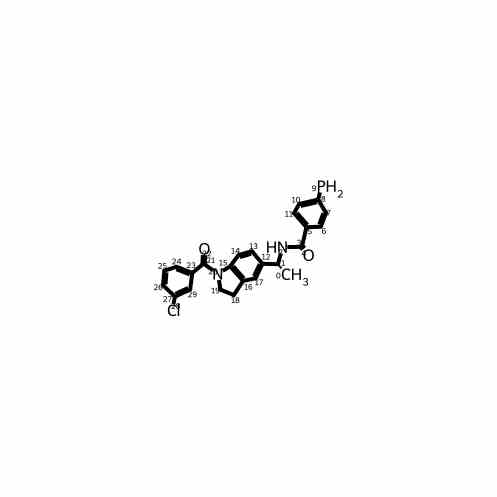 C[C@@H](NC(=O)c1ccc(P)cc1)c1ccc2c(c1)CCN2C(=O)c1cccc(Cl)c1